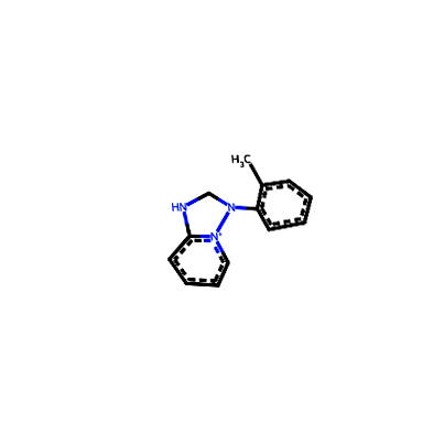 Cc1ccccc1N1CNc2cccc[n+]21